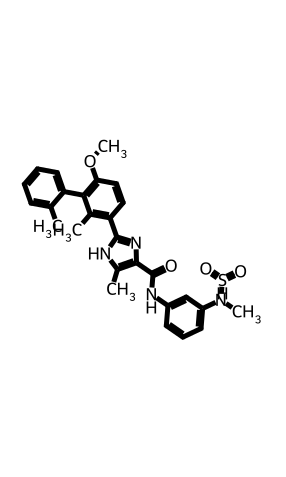 COc1ccc(-c2nc(C(=O)Nc3cccc(N(C)[SH](=O)=O)c3)c(C)[nH]2)c(C)c1-c1ccccc1C